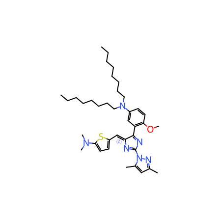 CCCCCCCCN(CCCCCCCC)c1ccc(OC)c(C2=NC(n3nc(C)cc3C)=N/C2=C\c2ccc(N(C)C)s2)c1